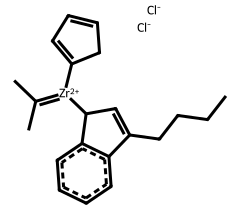 CCCCC1=C[CH]([Zr+2]([C]2=CC=CC2)=[C](C)C)c2ccccc21.[Cl-].[Cl-]